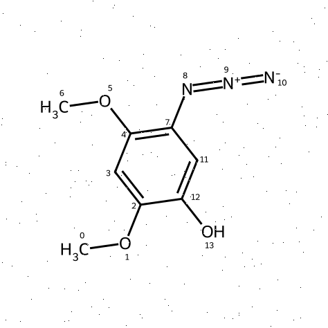 COc1cc(OC)c(N=[N+]=[N-])cc1O